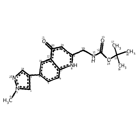 Cn1cc(-c2ccc3[nH]c(CNC(=O)OC(C)(C)C)cc(=O)c3c2)cn1